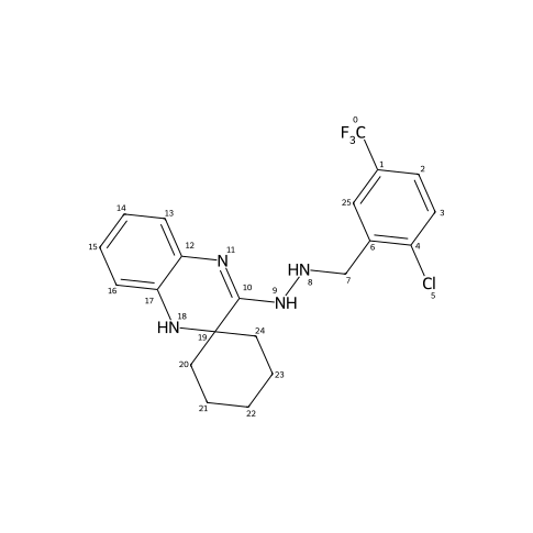 FC(F)(F)c1ccc(Cl)c(CNNC2=Nc3ccccc3NC23CCCCC3)c1